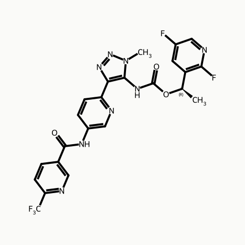 C[C@@H](OC(=O)Nc1c(-c2ccc(NC(=O)c3ccc(C(F)(F)F)nc3)cn2)nnn1C)c1cc(F)cnc1F